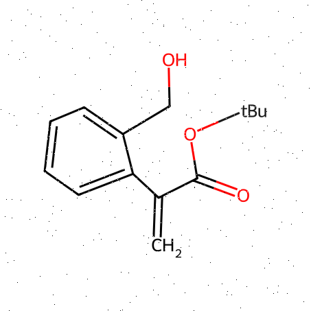 C=C(C(=O)OC(C)(C)C)c1ccccc1CO